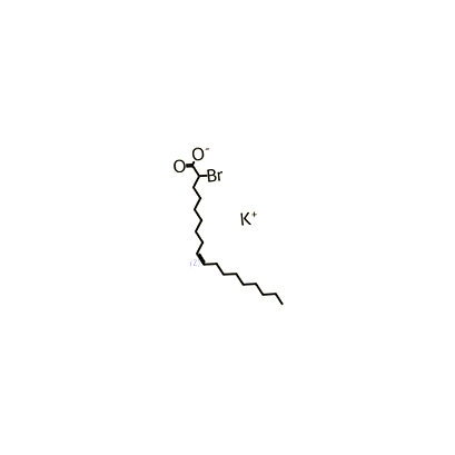 CCCCCCCC/C=C\CCCCCCC(Br)C(=O)[O-].[K+]